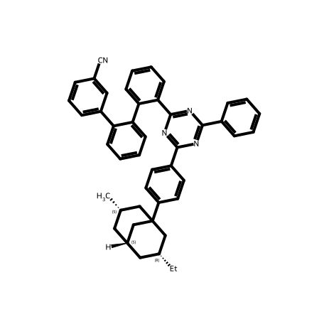 CC[C@@H]1C[C@@H]2C[C@H](C)CC(c3ccc(-c4nc(-c5ccccc5)nc(-c5ccccc5-c5ccccc5-c5cccc(C#N)c5)n4)cc3)(C1)C2